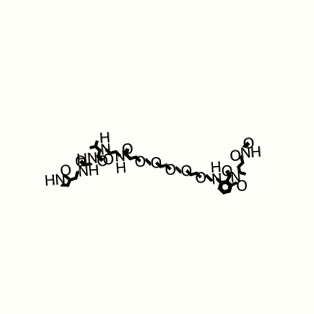 CC(C)C(NC(=O)CNC(=O)CCOCCOCCOCCOCCOCCNc1cccc2c1C(=O)N(C(C)CCC(=O)NC=O)C2=O)C(=O)NCC(=O)NCCC1CCNC1=O